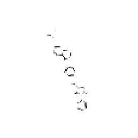 Cc1c(C(=O)Nc2ccc(Oc3ccnc4cc(OC[C@@H](C)O)ccc34)cc2)c(=O)n(-c2ccccc2)n1C